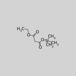 CCOC(=O)CC(=O)O[Si](C)(C)C